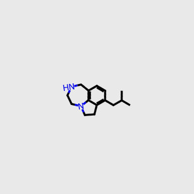 CC(C)Cc1ccc2c3c1CCN3CCNC2